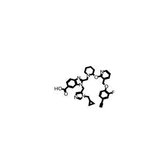 C#Cc1ccc(OCc2cccnc2OC2CCCCN2Cc2nc3ccc(C(=O)O)cc3n2Cc2cncn2CC2CC2)c(F)c1